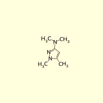 Cc1cc(N(C)C)nn1C